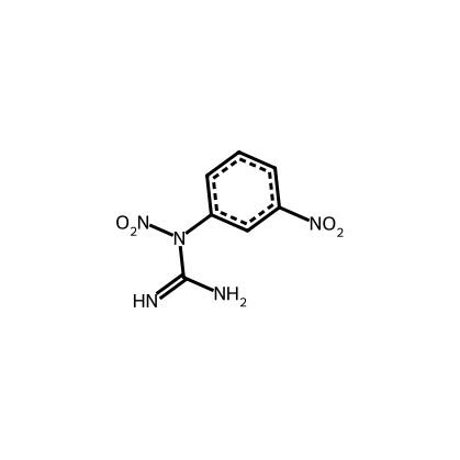 N=C(N)N(c1cccc([N+](=O)[O-])c1)[N+](=O)[O-]